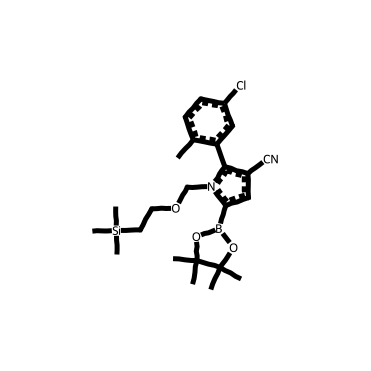 Cc1ccc(Cl)cc1-c1c(C#N)cc(B2OC(C)(C)C(C)(C)O2)n1COCC[Si](C)(C)C